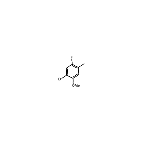 CCc1cc(F)c(C)cc1OC